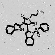 NCCN1C(=O)C(c2cc3ccccc3[nH]2)=C(c2cc3ccccc3n2S(=O)(=O)c2ccccc2)C1=O